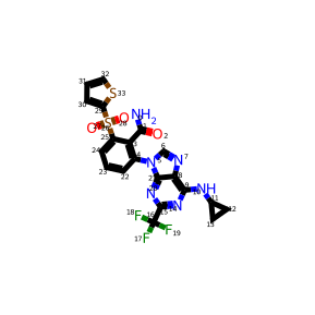 NC(=O)c1c(-n2cnc3c(NC4CC4)nc(C(F)(F)F)nc32)cccc1S(=O)(=O)c1cccs1